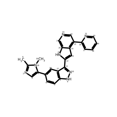 Cc1ncc(-c2ccc3[nH]nc(-c4cc5c(-c6ccccn6)cncc5[nH]4)c3c2)n1C